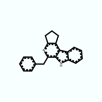 c1ccc(Cc2nc3c(c4c2[nH]c2ccccc24)CCC3)cc1